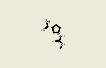 COC(=O)N[C@H]1CC[C@@H](C(=O)O)C1